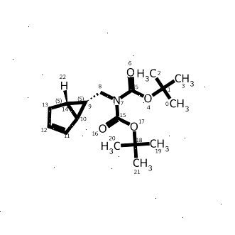 CC(C)(C)OC(=O)N(C[C@@H]1C2C=CC[C@@H]21)C(=O)OC(C)(C)C